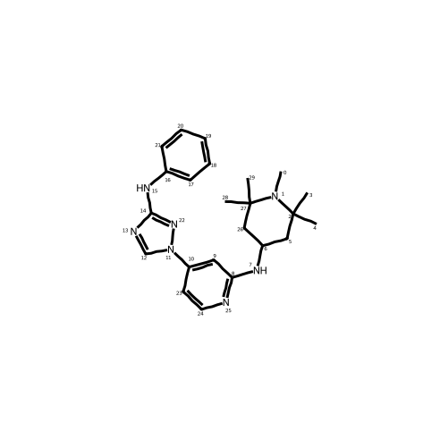 CN1C(C)(C)CC(Nc2cc(-n3cnc(Nc4ccccc4)n3)ccn2)CC1(C)C